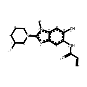 C=CC(=O)Nc1cc2nc(N3CCCC(F)C3)n(C)c2cc1C#N